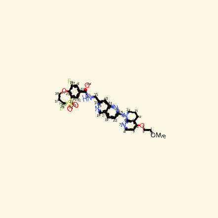 COCCOc1ccnc2c1CCCN2c1ccc2cnc(CNC(=O)c3cc(F)c4c(c3)S(=O)(=O)[C@@H](F)CCO4)cc2n1